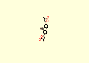 C=C1CC(c2ccc3c(c2)Bc2cc(C4CC(=C)C(=O)O4)ccc2-3)OC1=O